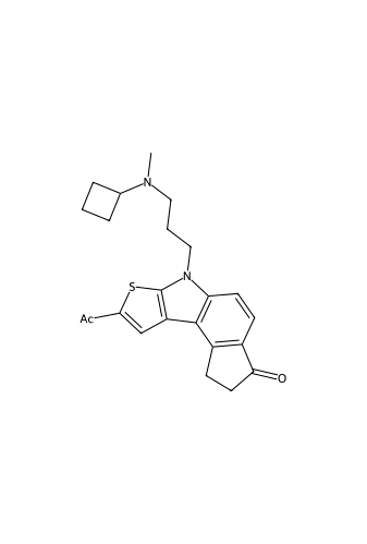 CC(=O)c1cc2c3c4c(ccc3n(CCCN(C)C3CCC3)c2s1)C(=O)CC4